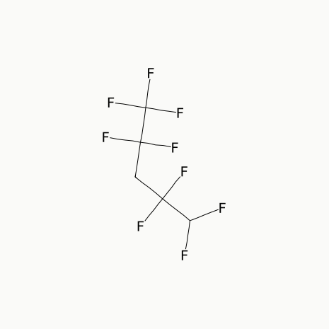 FC(F)C(F)(F)CC(F)(F)C(F)(F)F